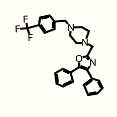 FC(F)(F)c1ccc(CN2CCN(Cc3nc(-c4ccccc4)c(-c4ccccc4)o3)CC2)cc1